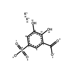 O=C([O-])c1cc(S(=O)(=O)[O-])cc(O)c1O.[K+].[K+]